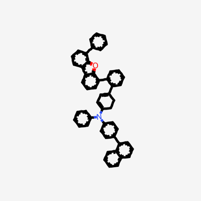 C1=C(c2ccccc2-c2cccc3c2oc2c(-c4ccccc4)cccc23)CCC(N(c2ccccc2)c2ccc(-c3cccc4ccccc34)cc2)=C1